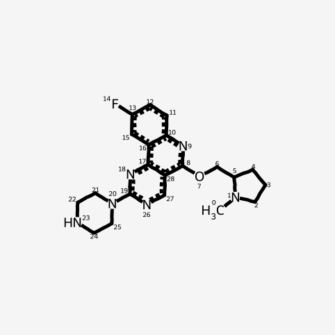 CN1CCCC1COc1nc2ccc(F)cc2c2nc(N3CCNCC3)ncc12